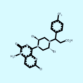 CC[C@H]1CN(C(CC(=O)O)c2ccc(C(F)(F)F)cc2)[C@H](CC)CN1c1nc(=O)n(C)c2ccc(Cl)nc12